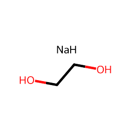 OCCO.[NaH]